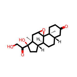 C[C@]12CCC(=O)C[C@@H]1CC[C@H]1[C@@H]3CC[C@](O)(C(=O)CO)[C@@]3(C)CC3O[C@]312